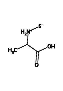 CC([NH2+][S-])C(=O)O